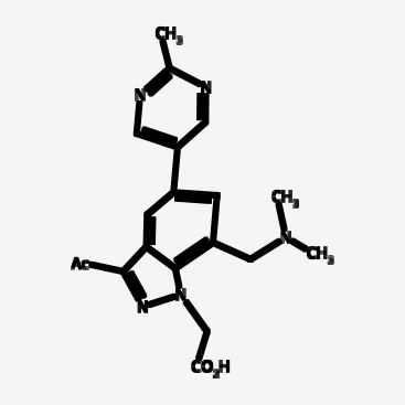 CC(=O)c1nn(CC(=O)O)c2c(CN(C)C)cc(-c3cnc(C)nc3)cc12